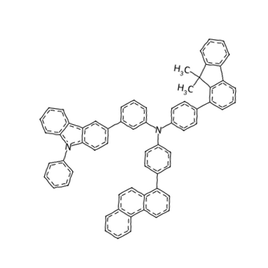 CC1(C)c2ccccc2-c2cccc(-c3ccc(N(c4ccc(-c5cccc6c5ccc5ccccc56)cc4)c4cccc(-c5ccc6c(c5)c5ccccc5n6-c5ccccc5)c4)cc3)c21